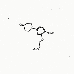 COCCOc1cc(N2CCC(=O)CC2)ccc1OC